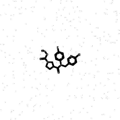 CC(C)(C)OC(=O)N1CCC(C(=O)N(Cc2ccc(Cl)nc2)c2ccc(F)cc2)C1